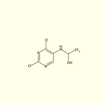 OC(Nc1cnc(Cl)nc1Cl)C(F)(F)F